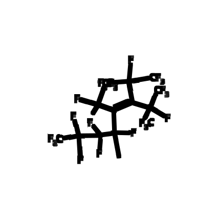 CC(F)(C(=C(C(F)(C(F)(F)F)C(F)(F)F)C(F)(C(F)(F)F)C(F)(F)F)C(C)(F)C(F)(F)C(F)(F)C(F)(F)F)C(F)(F)F